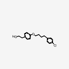 OCCc1ccc(OCCCCc2ccc(Cl)cc2)cc1